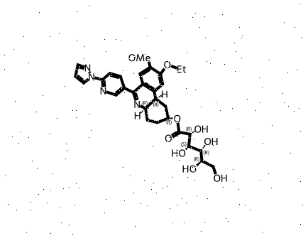 CCOc1cc2c(cc1OC)C(c1ccc(-n3cccn3)nc1)=N[C@@H]1CC[C@@H](OC(=O)[C@H](O)[C@@H](O)[C@H](O)[C@H](O)CO)C[C@H]21